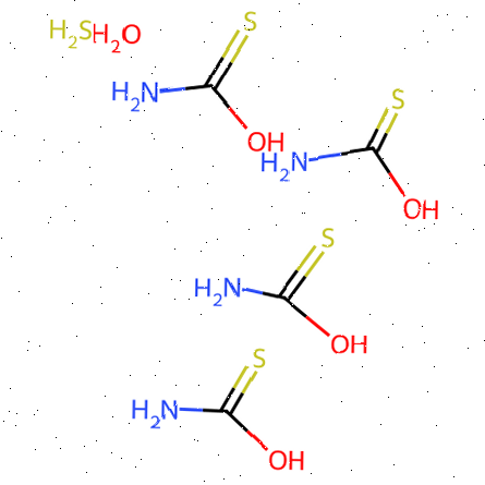 NC(O)=S.NC(O)=S.NC(O)=S.NC(O)=S.O.S